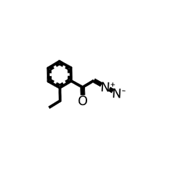 CCc1ccccc1C(=O)C=[N+]=[N-]